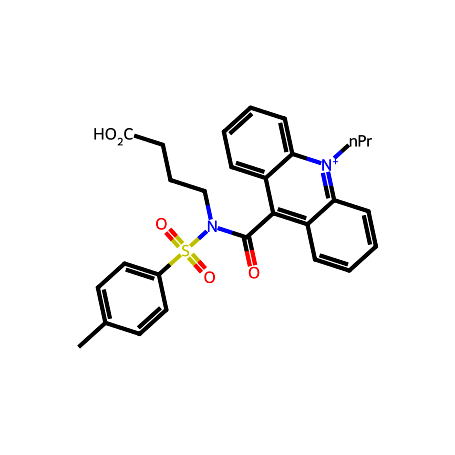 CCC[n+]1c2ccccc2c(C(=O)N(CCCC(=O)O)S(=O)(=O)c2ccc(C)cc2)c2ccccc21